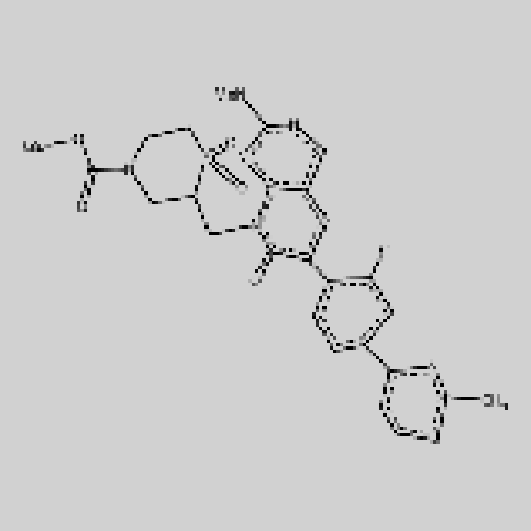 CNc1ncc2cc(-c3ccc(-c4cccc(C)n4)cc3Cl)c(=O)n(CC3CN(C(=O)OC(C)(C)C)CCS3(=O)=O)c2n1